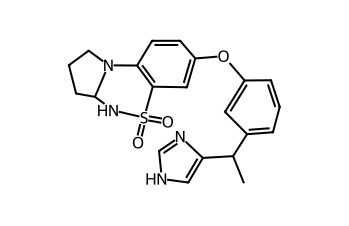 CC(c1cccc(Oc2ccc3c(c2)S(=O)(=O)NC2CCCN32)c1)c1c[nH]cn1